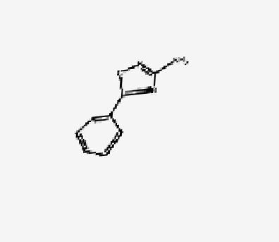 Nc1noc(-c2ccccc2)n1